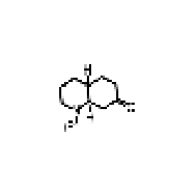 CCCN1CCC[C@@H]2CCC(=O)C[C@@H]21